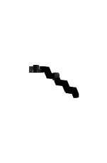 CC=CCCOCCCCCC